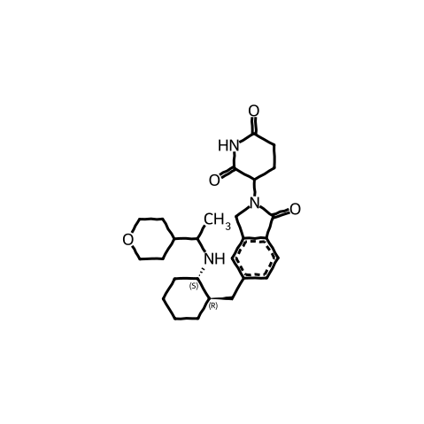 CC(N[C@H]1CCCC[C@@H]1Cc1ccc2c(c1)CN(C1CCC(=O)NC1=O)C2=O)C1CCOCC1